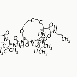 C=CCNC(=O)C(=O)[C@@H]1CCCCCCCOC[C@H](NC(=O)N[C@H](CN2CCCCC2=O)C(C)(C)C)C(=O)N2C[C@H]3[C@@H]([C@H]2C(=O)N1)C3(C)C